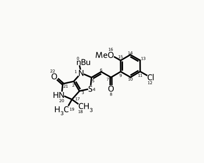 CCCCN1C2=C(S/C1=C\C(=O)c1cc(Cl)ccc1OC)C(C)(C)NC2=O